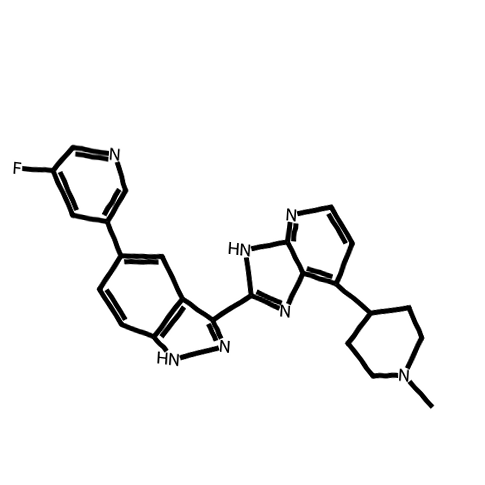 CN1CCC(c2ccnc3[nH]c(-c4n[nH]c5ccc(-c6cncc(F)c6)cc45)nc23)CC1